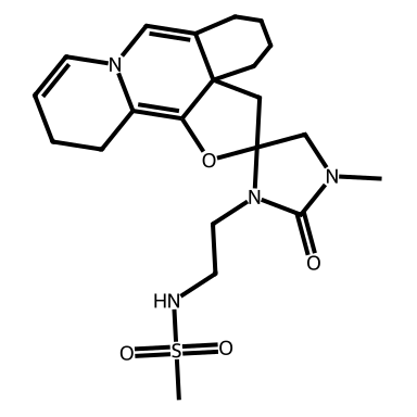 CN1CC2(CC34CCCCC3=CN3C=CCCC3=C4O2)N(CCNS(C)(=O)=O)C1=O